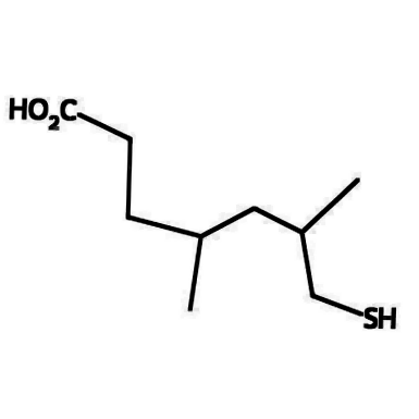 CC(CS)CC(C)CCC(=O)O